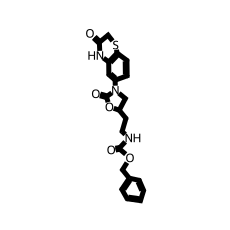 O=C1CSc2ccc(N3CC(CCNC(=O)OCc4ccccc4)OC3=O)cc2N1